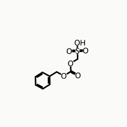 O=C(OCc1ccccc1)OCS(=O)(=O)O